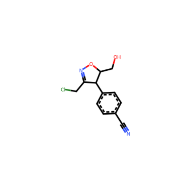 N#Cc1ccc(C2C(CCl)=NOC2CO)cc1